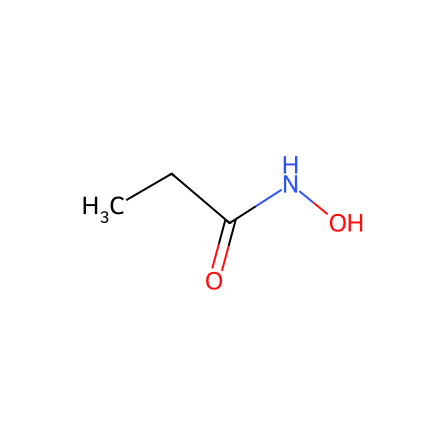 CCC(=O)NO